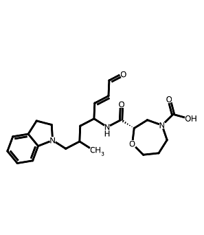 CC(CC(/C=C/C=O)NC(=O)[C@@H]1CN(C(=O)O)CCCO1)CN1CCc2ccccc21